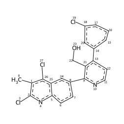 Cc1c(Cl)nc2ccc(-c3nccc(-c4cccc(Cl)c4)c3CO)cc2c1Cl